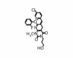 Cn1c2c(c(=O)n(CCCO)c1=O)C/C(=C/c1ccc(Cl)cn1)C(Oc1ccccc1F)=N2